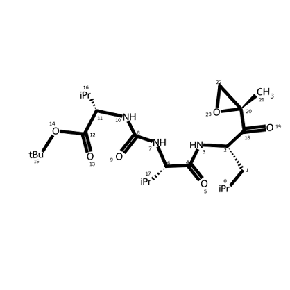 CC(C)C[C@H](NC(=O)[C@@H](NC(=O)N[C@H](C(=O)OC(C)(C)C)C(C)C)C(C)C)C(=O)[C@@]1(C)CO1